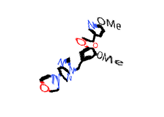 COc1ccc(C2COc3cc(Cn4cnc5cc(N6CCOCC6)cnc54)cc(OC)c3O2)cn1